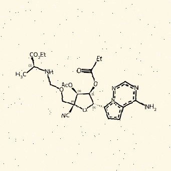 CCOC(=O)[C@H](C)NCOC[C@@]1(C#N)O[C@@H](c2ccc3c(N)ncnn23)[C@H](OC(=O)CC)[C@@H]1OC(C)=O